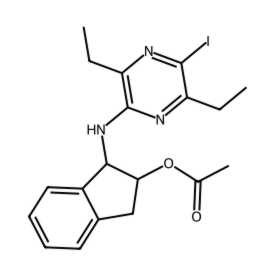 CCc1nc(NC2c3ccccc3CC2OC(C)=O)c(CC)nc1I